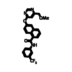 COCc1cc(Oc2ccc3c(C(=O)Nc4cccc(C(F)(F)F)c4)cccc3c2)ncn1